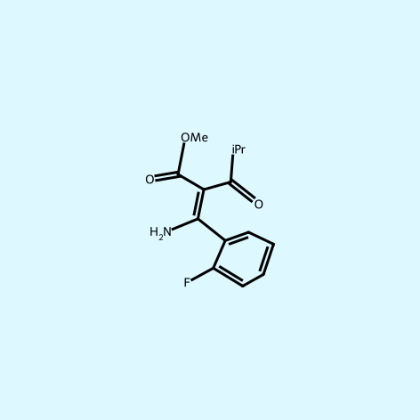 COC(=O)C(C(=O)C(C)C)=C(N)c1ccccc1F